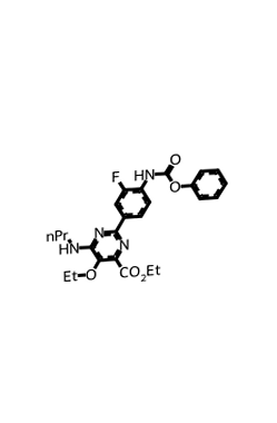 CCCNc1nc(-c2ccc(NC(=O)Oc3ccccc3)c(F)c2)nc(C(=O)OCC)c1OCC